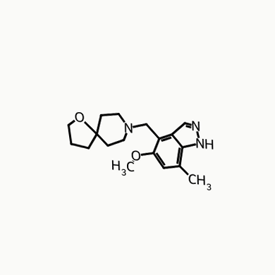 COc1cc(C)c2[nH]ncc2c1CN1CCC2(CCCO2)CC1